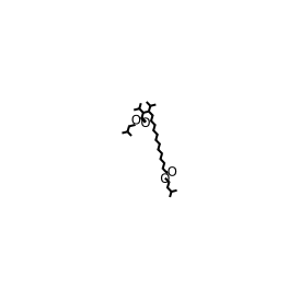 CC(C)CCOC(=O)CCCCCCCCCCCCC(C(C)C)C(C(=O)OCCC(C)C)C(C)C